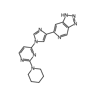 c1cc(-n2cnc(-c3cc4[nH]nnc4cn3)c2)nc(N2CCCCC2)n1